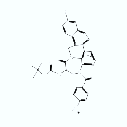 COc1ccc2cc(Br)ccc2c1CN1C(=O)C(NC(=O)OC(C)(C)C)CN(C(=O)c2ccc([N+](=O)[O-])cc2)c2ccccc21